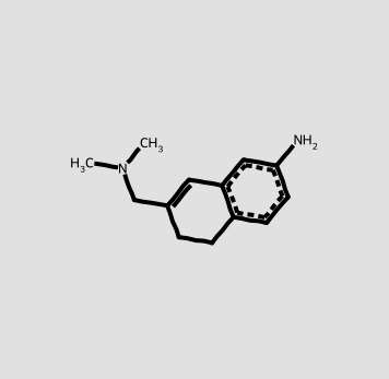 CN(C)CC1=Cc2cc(N)ccc2CC1